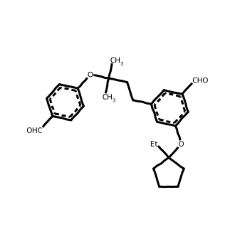 CCC1(Oc2cc(C=O)cc(CCC(C)(C)Oc3ccc(C=O)cc3)c2)CCCC1